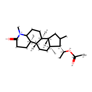 CC1C[C@H]2[C@@H]3CCC4N(C)C(=O)CC[C@]4(C)[C@H]3CC[C@]2(C)[C@H]1C(C)OC(=O)C(C)(C)C